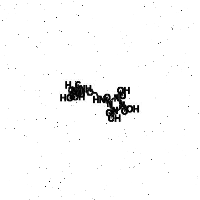 C[C@@H](NC(=O)c1ccc(CCCNC(=O)CN2CCN(CC(=O)O)CCN(CC(=O)O)CCN(CC(=O)O)CC2)cc1)C(=O)N1CCC[C@H]1B(O)O